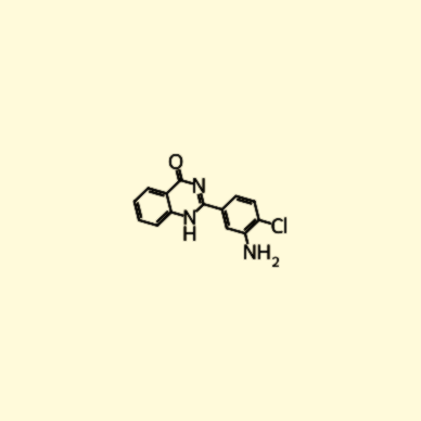 Nc1cc(-c2nc(=O)c3ccccc3[nH]2)ccc1Cl